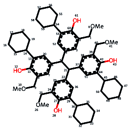 COCc1cc(C(c2cc(COC)c(O)c(C3CCCCC3)c2)C(c2cc(COC)c(O)c(C3CCCCC3)c2)c2cc(COC)c(O)c(C3CCCCC3)c2)cc(C2CCCCC2)c1O